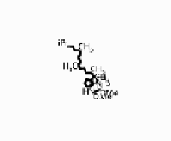 COC1=C(OC)Nc2cccc(C(C)C(C)CCCC(C)CCCC(C)CCCC(C)C)c2C(C)=N1